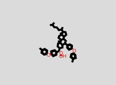 Cc1ccc(Oc2ccc(C3CC4C5CCC(C(C)CCCC(C)C)C5(C)CCC4C4(C)CCC(C(OO)c5ccc(Oc6ccc(C)cc6)cc5)CC34)cc2)cc1